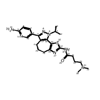 CC(C)n1nc(-c2ccc(N)nc2)c2c1-c1sc(NC(=O)CCCN(C)C)nc1CCC2